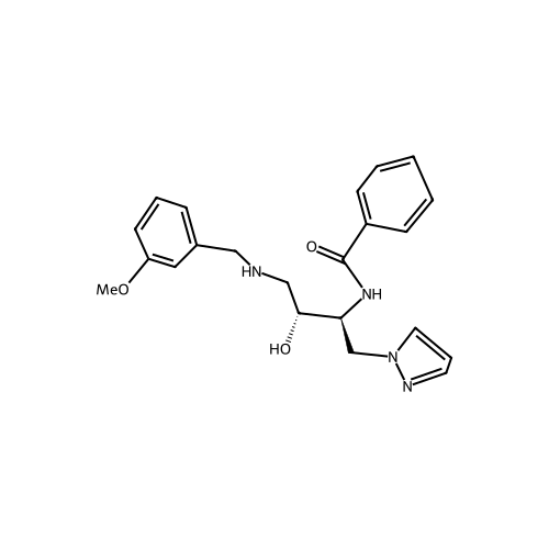 COc1cccc(CNC[C@@H](O)[C@H](Cn2cccn2)NC(=O)c2ccccc2)c1